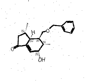 C[C@H]1[C@H](COCc2ccccc2)[C@H]2C(=C[C@H]1O)C(=O)C[C@@H]2C